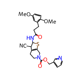 COc1ccc(OC)c(CCC(=O)NC2SC3=C(CCN(C(=O)OCc4cccnc4)C3)C2C#N)c1